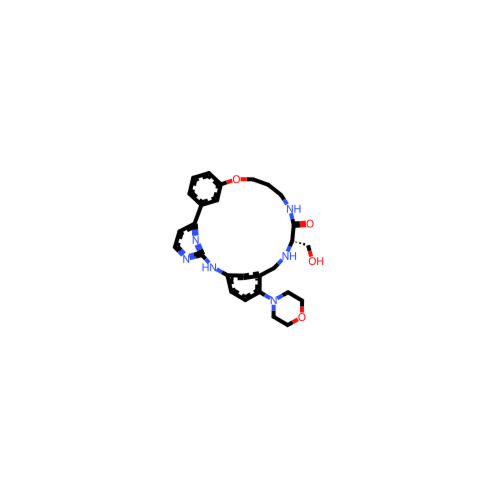 O=C1NCCCOc2cccc(c2)-c2ccnc(n2)Nc2ccc(N3CCOCC3)c(c2)CN[C@H]1CO